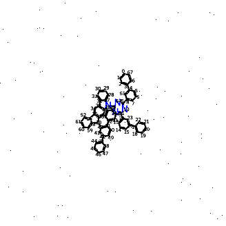 c1ccc(-c2cccc(-c3nc(-c4cccc(-c5ccccc5)c4)nc(-n4c5ccccc5c5cc6c(cc54)C(c4cc(-c5ccccc5)ccc4-c4ccccc4)c4ccccc4-6)n3)c2)cc1